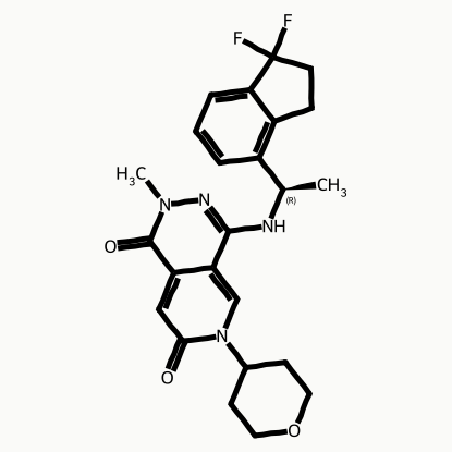 C[C@@H](Nc1nn(C)c(=O)c2cc(=O)n(C3CCOCC3)cc12)c1cccc2c1CCC2(F)F